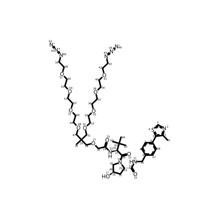 Cc1ncsc1-c1ccc(CNC(=O)[C@@H]2C[C@@H](O)CN2C(=O)[C@@H](NC(=O)COCC(C)(COCCOCCOCCOCCN=[N+]=[N-])COCCOCCOCCOCCN=[N+]=[N-])C(C)(C)C)cc1